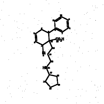 CCC1C=CCC(c2ccccc2)C1(CCCNC1CCCC1)C(=O)O